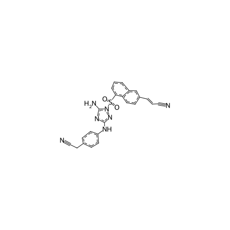 N#CC=Cc1ccc2c(S(=O)(=O)n3nc(Nc4ccc(CC#N)cc4)nc3N)cccc2c1